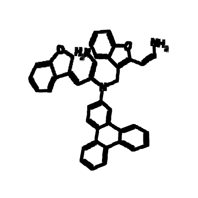 N/C=C\c1oc2ccccc2c1CN(C(/C=C1\COc2ccccc21)=C/N)c1ccc2c3ccccc3c3ccccc3c2c1